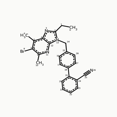 CCc1nc2c(C)c(Br)c(C)nc2n1Cc1ccc(-c2ccccc2C#N)cc1